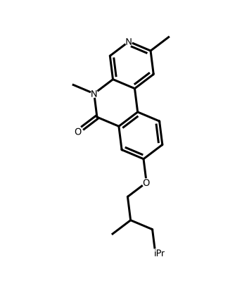 Cc1cc2c3ccc(OCC(C)CC(C)C)cc3c(=O)n(C)c2cn1